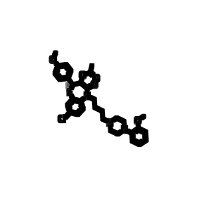 COc1ccc([C@@H]2Sc3cc(Cl)ccc3N(CCCCN3CCN(c4ccccc4OC)CC3)C(=O)C2OC(C)=O)cc1